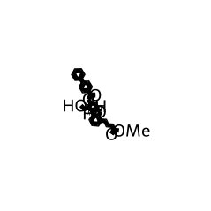 COC(=O)CCCc1cccc2c1O[C@@H]1CC(OC(=O)c3ccc(-c4ccccc4)cc3)C(CO)[C@H]21